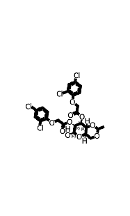 CC1OC[C@H]2O[C@@H](O)[C@H](OC(=O)COc3ccc(Cl)cc3Cl)[C@@H](OC(=O)COc3ccc(Cl)cc3Cl)[C@@H]2O1